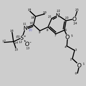 COCCCOc1cc(C/C(=N\[S@+]([O-])C(C)(C)C)C(C)C)cnc1OC